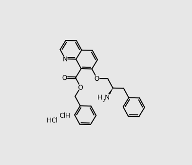 Cl.Cl.N[C@@H](COc1ccc2cccnc2c1C(=O)OCc1ccccc1)Cc1ccccc1